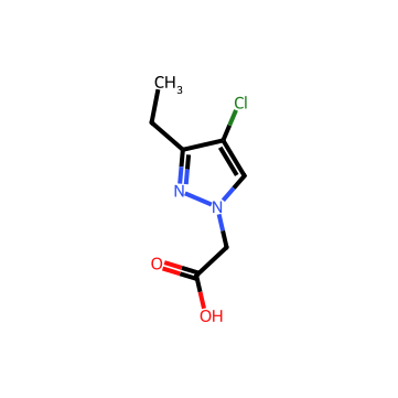 CCc1nn(CC(=O)O)cc1Cl